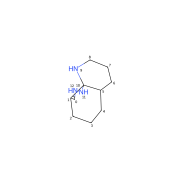 C1=C2CCCC3CCCNC23NN1